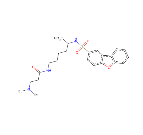 CCN(CC)CCC(=O)NCCCCC(NS(=O)(=O)c1ccc2oc3ccccc3c2c1)C(=O)O